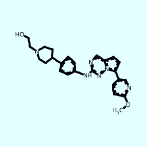 COc1ccc(-c2ccc3cnc(Nc4ccc(C5CCN(CCO)CC5)cc4)nn23)cn1